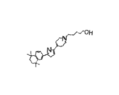 CC1(C)CCC(C)(C)c2cc(C3=NC(C4CCN(CCCCCO)CC4)=CC3)ccc21